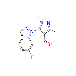 Cc1nn(C)c(-n2ccc3ccc(F)cc32)c1C=O